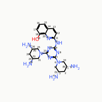 N[C@@H]1C[C@H](N)CN(c2nc(Nc3ccc4cccc(O)c4n3)nc(N3C[C@H](N)C[C@H](N)C3)n2)C1